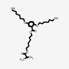 C=C(C)C(=O)OCCCCCCOC(=O)c1cc(OCCCCCCO)ccc1OCCCCCCO